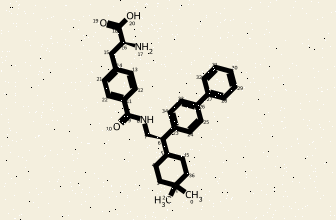 CC1(C)CCC([C@@H](CNC(=O)c2ccc(C[C@H](N)C(=O)O)cc2)c2ccc(-c3ccccc3)cc2)CC1